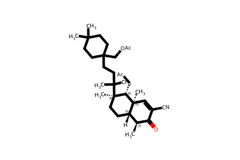 CC(=O)C[C@@H]1[C@@]2(C)C=C(C#N)C(=O)[C@@H](C)[C@@H]2CC[C@@]1(C)C(C)(C)CCC1(COC(C)=O)CCC(C)(C)CC1